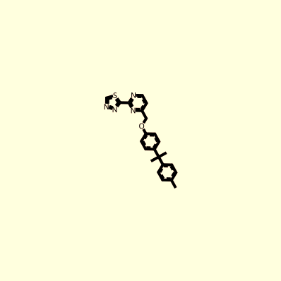 Cc1ccc(C(C)(C)c2ccc(OCc3ccnc(-c4nncs4)n3)cc2)cc1